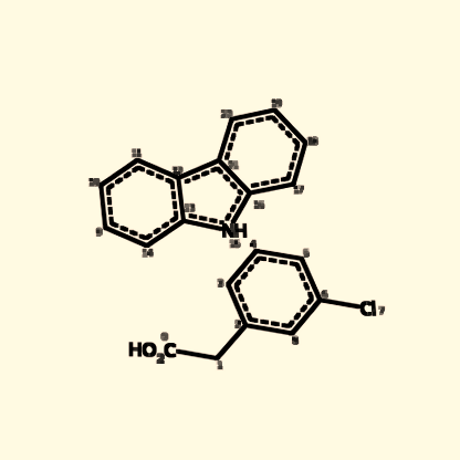 O=C(O)Cc1cccc(Cl)c1.c1ccc2c(c1)[nH]c1ccccc12